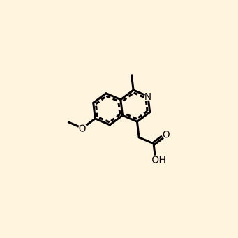 COc1ccc2c(C)ncc(CC(=O)O)c2c1